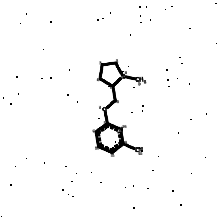 CN1CCCC1COc1cccc(C#N)n1